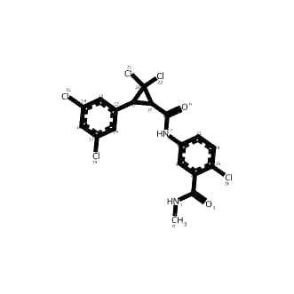 CNC(=O)c1cc(NC(=O)C2C(c3cc(Cl)cc(Cl)c3)C2(Cl)Cl)ccc1Cl